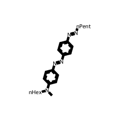 CCCCCCN(C)c1ccc(/N=N/c2ccc(/N=N/CCCCC)cc2)cc1